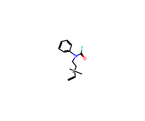 C=C[Si](C)(C)CCN(C(=O)F)c1ccccc1